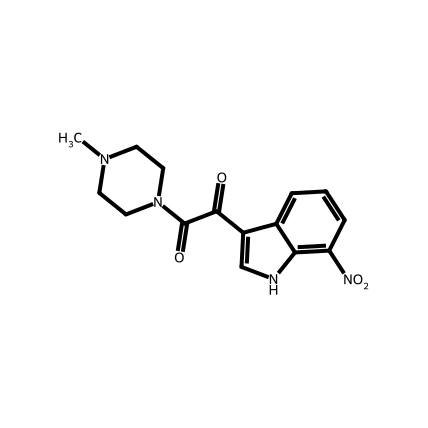 CN1CCN(C(=O)C(=O)c2c[nH]c3c([N+](=O)[O-])cccc23)CC1